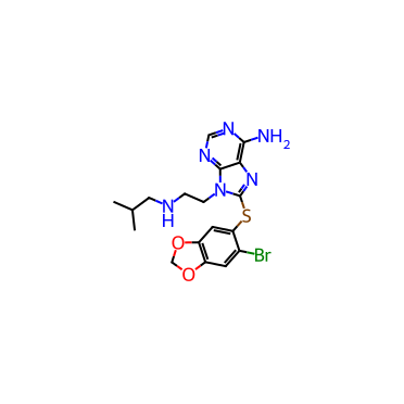 CC(C)CNCCn1c(Sc2cc3c(cc2Br)OCO3)nc2c(N)ncnc21